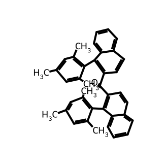 Cc1cc(C)c(-c2c(C(=O)c3ccc4ccccc4c3-c3c(C)cc(C)cc3C)ccc3ccccc23)c(C)c1